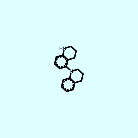 [C]1CCN(c2cccc3c2CCCN3)c2ccccc21